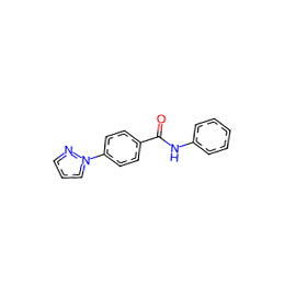 O=C(Nc1ccccc1)c1ccc(-n2cccn2)cc1